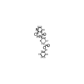 O=C(N[C@H]1CC[C@@H](C(=O)OCc2ccccc2)CC1)c1cccnc1Cl